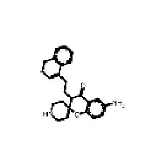 Nc1ccc2c(c1)C(=O)C(CCC1=CCCc3ccccc31)C1(CCNCC1)O2